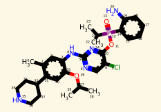 Cc1cc(Nc2ncc(Cl)c(OP(=O)(c3ccccc3N)C(C)C)n2)c(OC(C)C)cc1C1CCNCC1